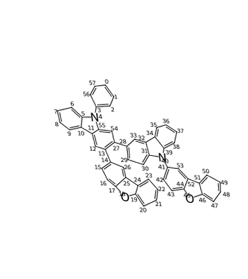 c1ccc(-n2c3ccccc3c3cc(-c4ccc5oc6ccccc6c5c4)c(-c4ccc5c(c4)c4ccccc4n5-c4ccc5oc6ccccc6c5c4)cc32)cc1